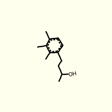 Cc1ccc(CCC(C)O)c(C)c1C